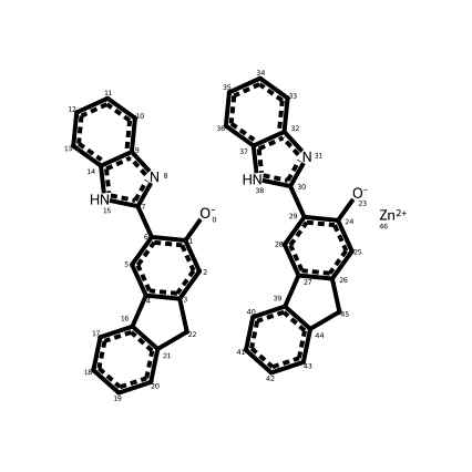 [O-]c1cc2c(cc1-c1nc3ccccc3[nH]1)-c1ccccc1C2.[O-]c1cc2c(cc1-c1nc3ccccc3[nH]1)-c1ccccc1C2.[Zn+2]